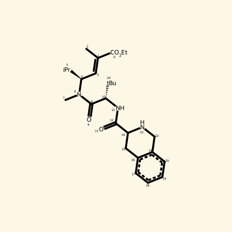 CCOC(=O)/C(C)=C/[C@H](C(C)C)N(C)C(=O)[C@@H](NC(=O)C1Cc2ccccc2CN1)C(C)(C)C